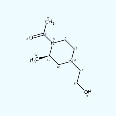 CC(=O)N1CCN(CCO)C[C@H]1C